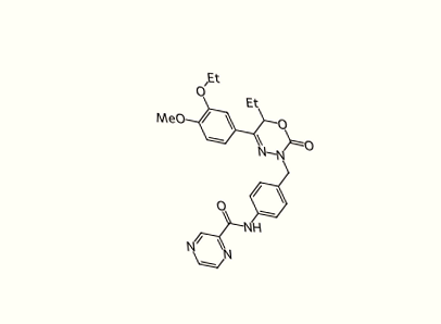 CCOc1cc(C2=NN(Cc3ccc(NC(=O)c4cnccn4)cc3)C(=O)OC2CC)ccc1OC